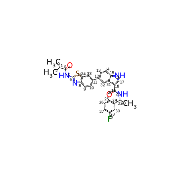 CC(C)C(=O)Nc1nc2ccc(-c3ccc4[nH]cc(C(=O)NC(C)c5cccc(F)c5)c4c3)cc2s1